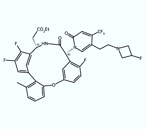 CCOC(=O)C[C@@H]1NC(=O)[C@H](n2cc(CCN3CC(F)C3)c(C(F)(F)F)cc2=O)c2cc(ccc2F)Oc2cccc(C)c2-c2cc(F)c(F)c1c2